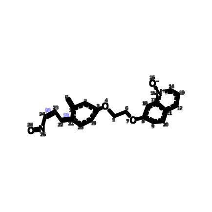 C=c1cc(OCCOc2ccc3ccc[n+]([O-])c3c2)cc/c1=C/C=C\N=O